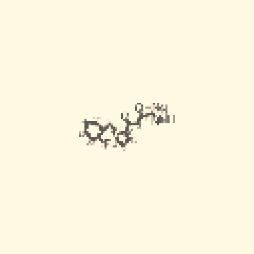 O=C(C=C(O)c1nn[nH]n1)c1cccn1Cc1ccccc1F